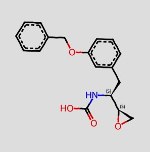 O=C(O)N[C@@H](Cc1cccc(OCc2ccccc2)c1)[C@H]1CO1